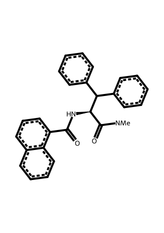 CNC(=O)[C@@H](NC(=O)c1cccc2ccccc12)C(c1ccccc1)c1ccccc1